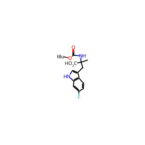 CC(C)(C)OC(=O)NC(C)(Cc1c[nH]c2cc(F)ccc12)C(=O)O